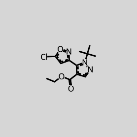 CCOC(=O)c1cnn(C(C)(C)C)c1-c1cc(Cl)on1